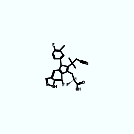 Cc1cc(-n2c(C(C)(C)CC#N)c(C[C@@H](F)C(=O)O)c3c(F)c4[nH]ncc4cc32)ccc1F